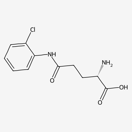 N[C@@H](CCC(=O)Nc1ccccc1Cl)C(=O)O